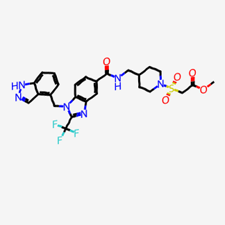 COC(=O)CS(=O)(=O)N1CCC(CNC(=O)c2ccc3c(c2)nc(C(F)(F)F)n3Cc2cccc3[nH]ncc23)CC1